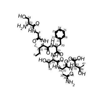 CC[C@H](C)[C@H](NC(=O)CNC(=O)[C@@H](N)CO)C(=O)N[C@@H](Cc1ccccc1)C(=O)N[C@H](C(=O)N[C@@H](CC(N)=O)C(=O)N[C@H](C(=O)O)[C@@H](C)O)[C@@H](C)O